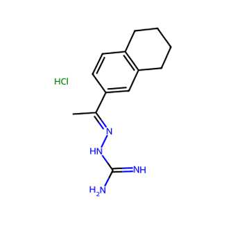 CC(=NNC(=N)N)c1ccc2c(c1)CCCC2.Cl